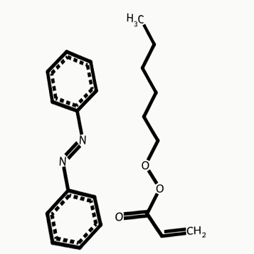 C=CC(=O)OOCCCCCC.c1ccc(N=Nc2ccccc2)cc1